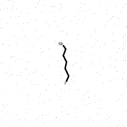 FCCCC[CH2][Sb]